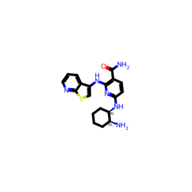 NC(=O)c1ccc(N[C@@H]2CCCC[C@@H]2N)nc1Nc1csc2ncccc12